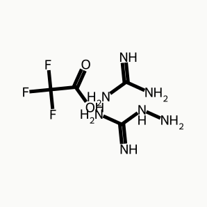 N=C(N)N.N=C(N)NN.O=C(O)C(F)(F)F